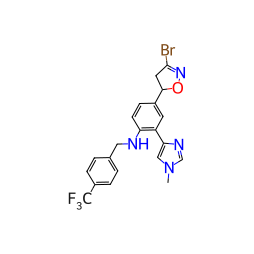 Cn1cnc(-c2cc(C3CC(Br)=NO3)ccc2NCc2ccc(C(F)(F)F)cc2)c1